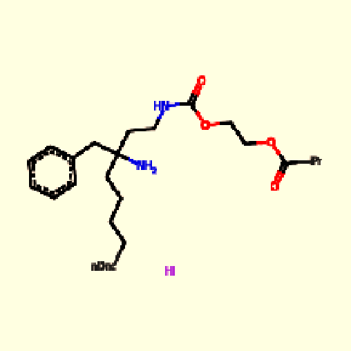 CCCCCCCCCCCCCCC(N)(CCNC(=O)OCCOC(=O)C(C)C)Cc1ccccc1.I